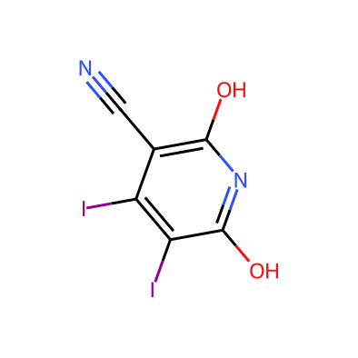 N#Cc1c(O)nc(O)c(I)c1I